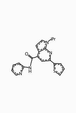 CC(C)n1ccc2c(C(=O)Nc3ccccn3)cc(-c3cccs3)nc21